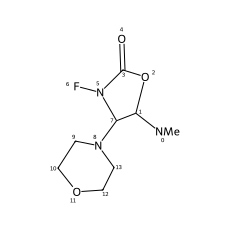 CNC1OC(=O)N(F)C1N1CCOCC1